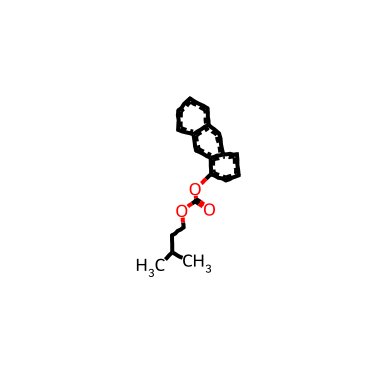 CC(C)CCOC(=O)Oc1cccc2cc3ccccc3cc12